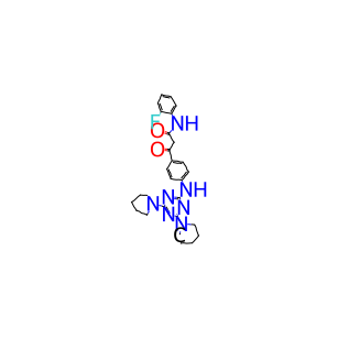 O=C(CC(=O)c1ccc(Nc2nc(N3CCCCC3)nc(N3CCCCC3)n2)cc1)Nc1ccccc1F